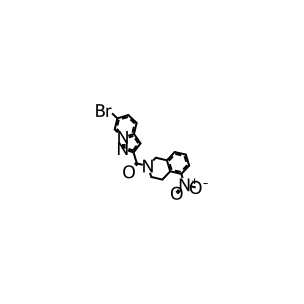 O=C(c1cc2ccc(Br)cn2n1)N1CCc2c(cccc2[N+](=O)[O-])C1